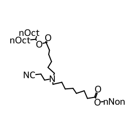 CCCCCCCCCOC(=O)CCCCCCCN(CCC#N)CCCCCC(=O)OC(CCCCCCCC)CCCCCCCC